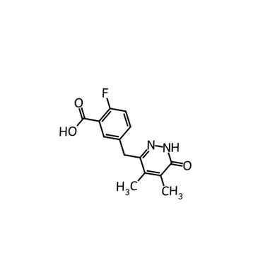 Cc1c(Cc2ccc(F)c(C(=O)O)c2)n[nH]c(=O)c1C